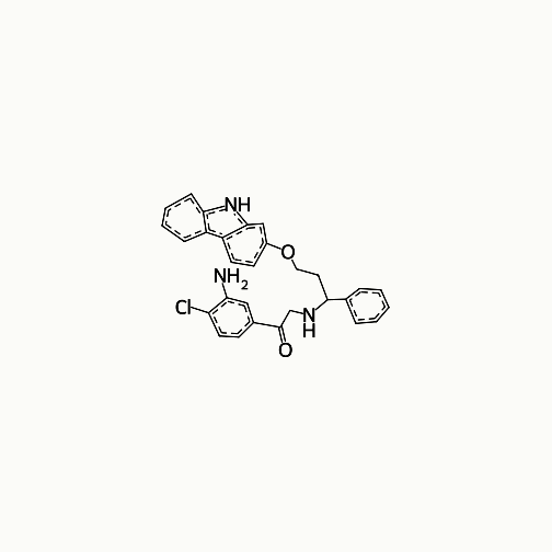 Nc1cc(C(=O)CNC(CCOc2ccc3c(c2)[nH]c2ccccc23)c2ccccc2)ccc1Cl